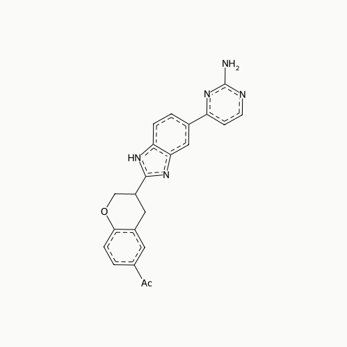 CC(=O)c1ccc2c(c1)CC(c1nc3cc(-c4ccnc(N)n4)ccc3[nH]1)CO2